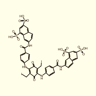 O=C1C(CI)=C(Nc2ccc(C(=O)Nc3ccc4cc(S(=O)(=O)O)cc(S(=O)(=O)O)c4c3)cc2)C(=O)C(CI)=C1Nc1ccc(C(=O)Nc2ccc3cc(S(=O)(=O)O)cc(S(=O)(=O)O)c3c2)cc1